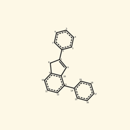 C1=C(c2ccccc2)Cc2cccc(-c3ccccc3)c21